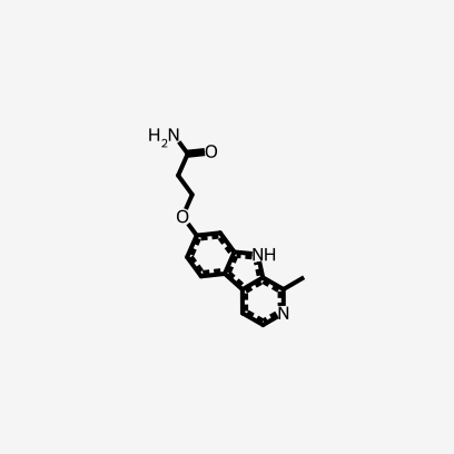 Cc1nccc2c1[nH]c1cc(OCCC(N)=O)ccc12